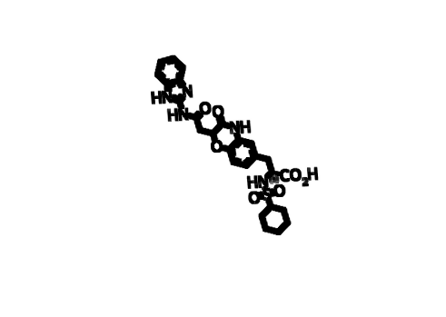 O=C(CC1Oc2ccc(C[C@H](NS(=O)(=O)C3CCCCC3)C(=O)O)cc2NC1=O)Nc1nc2ccccc2[nH]1